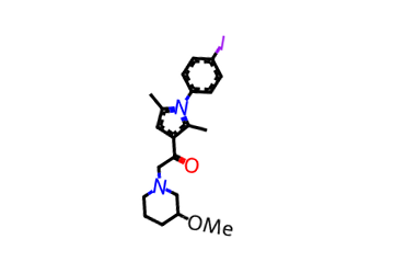 COC1CCCN(CC(=O)c2cc(C)n(-c3ccc(I)cc3)c2C)C1